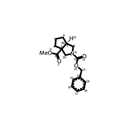 COC(=O)C12CCC[C@H]1CN(C(=O)OCc1ccccc1)C2